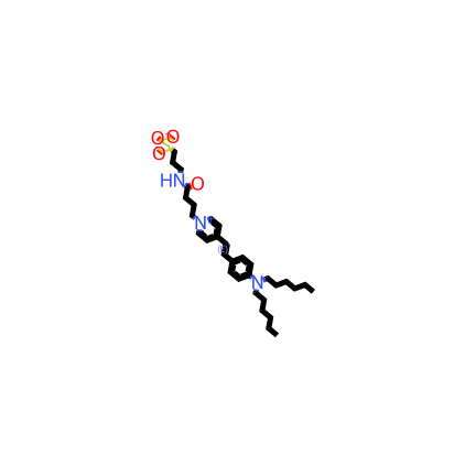 CCCCCCN(CCCCCC)c1ccc(/C=C/c2cc[n+](CCCC(=O)NCCCS(=O)(=O)[O-])cc2)cc1